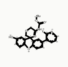 CC(C)(C)OC(=O)NC1=NC2(COC1)c1cc(O)ccc1Oc1ccc(-c3cccnc3F)cc12